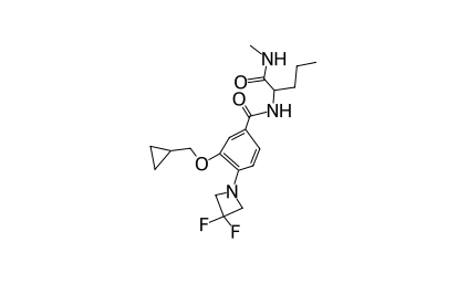 CCCC(NC(=O)c1ccc(N2CC(F)(F)C2)c(OCC2CC2)c1)C(=O)NC